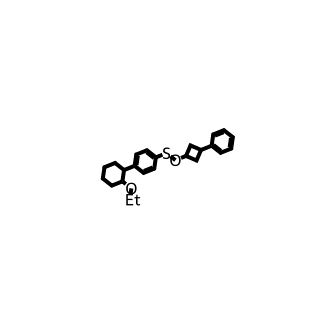 CCOC1CCCCC1c1ccc(SOC2CC(c3ccccc3)C2)cc1